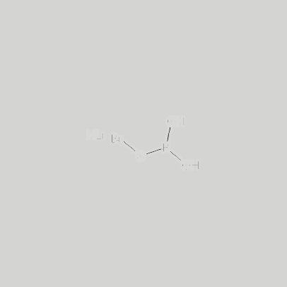 OB(O)OBr.[LiH]